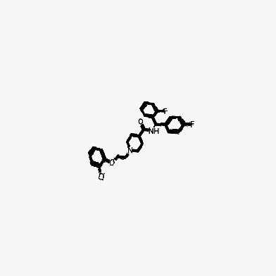 O=C(N[C@@H](c1ccc(F)cc1)c1ccccc1F)C1CCN(CCOc2ccccc2Cl)CC1